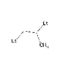 CCC[C](C)CC